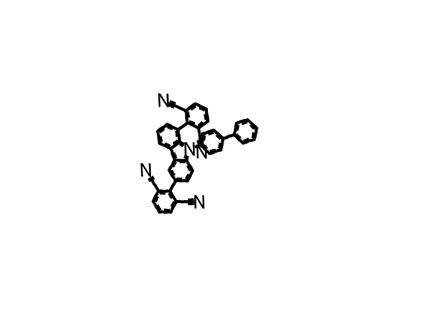 N#Cc1cccc(C#N)c1-c1ccc2c(c1)c1cccc(-c3c(C#N)cccc3C#N)c1n2-c1ccc(-c2ccccc2)cc1